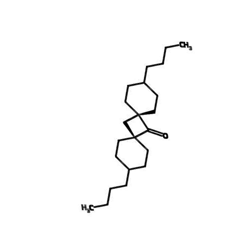 CCCCC1CC[C@]2(CC1)C[C@@]1(CCC(CCCC)CC1)C2=O